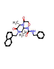 C[C@H]1[C@@H]2N(C(=O)NCc3ccccc3)OCC(=O)N2[C@@H](C)C(=O)N1Cc1cccc2ccccc12